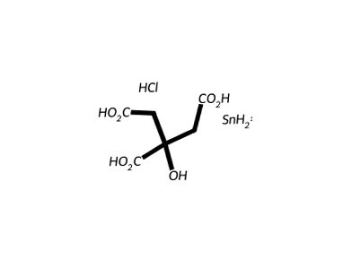 Cl.O=C(O)CC(O)(CC(=O)O)C(=O)O.[SnH2]